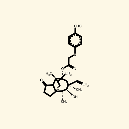 C=C[C@]1(C)C[C@@H](OC(=O)CSc2ccc(C=O)cc2)[C@]2(C)C(C)CCC3(CCC(=O)C32)[C@@H](C)[C@@H]1O